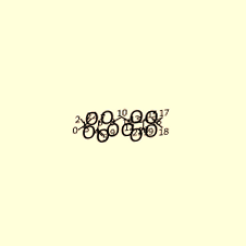 CC1(C)OC(=O)C(OC(=O)CC(=O)OC2OC(C)(C)OC2=O)O1